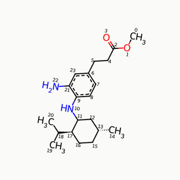 COC(=O)CCc1ccc(NC2C[C@H](C)CC[C@H]2C(C)C)c(N)c1